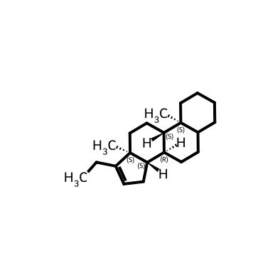 CCC1=CC[C@H]2[C@@H]3CCC4CCCC[C@]4(C)[C@H]3CC[C@]12C